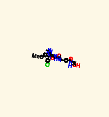 COc1ccc2c(c1)C(c1ccc(Cl)cc1)=N[C@@H](CC(=O)NCC(=O)NCCc1ccc(C(=O)NC[Si](C)(C)O)cc1)c1nnc(C)n1-2